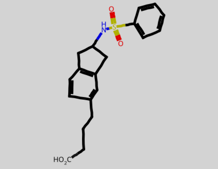 O=C(O)CCCc1ccc2c(c1)CC(NS(=O)(=O)c1ccccc1)C2